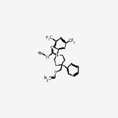 C=COCC1(c2ccccc2)CC[N+](C(=O)OC(C)(C)C)(c2cc(C(F)(F)F)cc(C(F)(F)F)c2)CC1